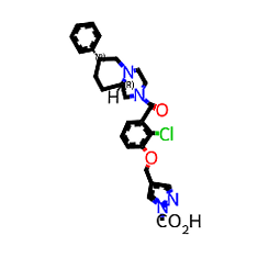 O=C(c1cccc(OCc2cnn(C(=O)O)c2)c1Cl)N1CCN2C[C@@H](c3ccccc3)CC[C@@H]2C1